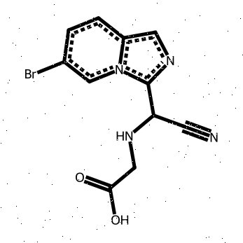 N#CC(NCC(=O)O)c1ncc2ccc(Br)cn12